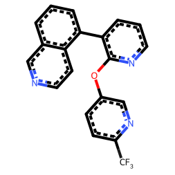 FC(F)(F)c1ccc(Oc2ncccc2-c2cccc3cnccc23)cn1